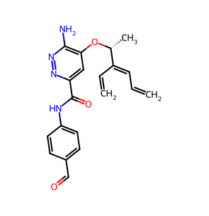 C=C/C=C(\C=C)[C@@H](C)Oc1cc(C(=O)Nc2ccc(C=O)cc2)nnc1N